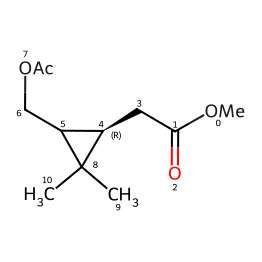 COC(=O)C[C@@H]1C(COC(C)=O)C1(C)C